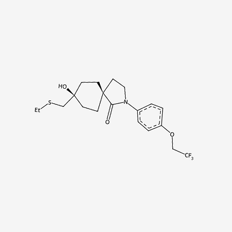 CCSC[C@]1(O)CC[C@]2(CCN(c3ccc(OCC(F)(F)F)cc3)C2=O)CC1